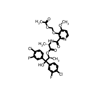 COc1ccnc(C(=O)N[C@@H](C)C(=O)O[C@@H](C)C(O)(c2ccc(Cl)c(F)c2)c2ccc(Cl)c(F)c2)c1OCOC(C)=O